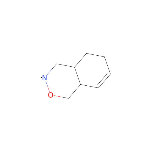 C1=CC2CO[N]CC2CC1